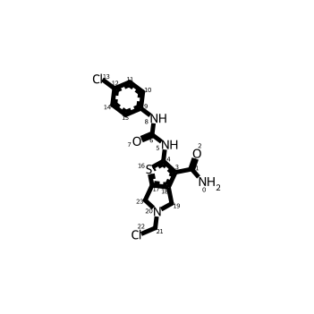 NC(=O)c1c(NC(=O)Nc2ccc(Cl)cc2)sc2c1CN(CCl)C2